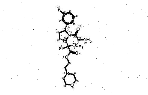 CCC(CC)(C(=O)OCCN1CCOCC1)[C@H]1CC[C@@H](c2cccc(F)c2)N1C(=O)[C@@H](C)N